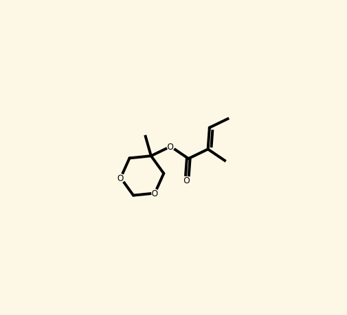 CC=C(C)C(=O)OC1(C)COCOC1